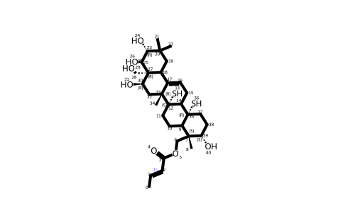 C/C=C/C(=O)OC[C@]1(C)C2CC[C@]3(S)C(CC=C4C5CC(C)(C)[C@@H](O)[C@H](O)[C@]5(CO)[C@H](O)C[C@]43C)[C@@]2(S)CC[C@@H]1O